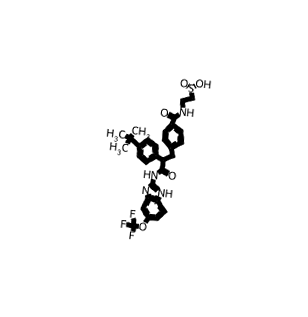 CC(C)(C)c1ccc(C(Cc2ccc(C(=O)NCCS(=O)O)cc2)C(=O)Nc2nc3cc(OC(F)(F)F)ccc3[nH]2)cc1